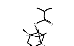 CC(C)C(=O)OC1C[C@H]2CC[C@@]1(C)C2(C)C